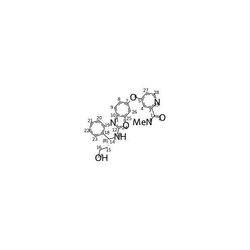 CNC(=O)c1cc(Oc2ccc3nc(N[C@H](CCO)c4ccccc4)oc3c2)ccn1